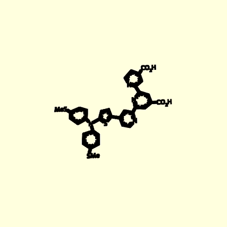 CSc1ccc(N(c2ccc(SC)cc2)c2ccc(-c3ccnc(-c4cc(C(=O)O)cc(-c5cc(C(=O)O)ccn5)n4)c3)s2)cc1